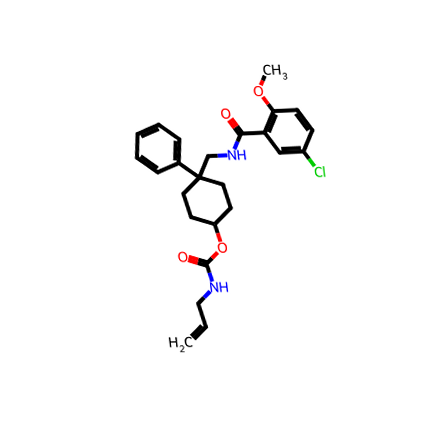 C=CCNC(=O)OC1CCC(CNC(=O)c2cc(Cl)ccc2OC)(c2ccccc2)CC1